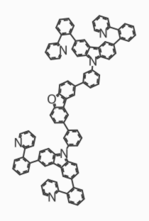 c1ccc(-c2ccccc2-c2ccc3c(c2)c2cc(-c4ccccc4-c4ccccn4)ccc2n3-c2cccc(-c3ccc4oc5ccc(-c6cccc(-n7c8ccc(-c9ccccc9-c9ccccn9)cc8c8cc(-c9ccccc9-c9ccccn9)ccc87)c6)cc5c4c3)c2)nc1